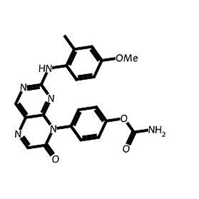 COc1ccc(Nc2ncc3ncc(=O)n(-c4ccc(OC(N)=O)cc4)c3n2)c(C)c1